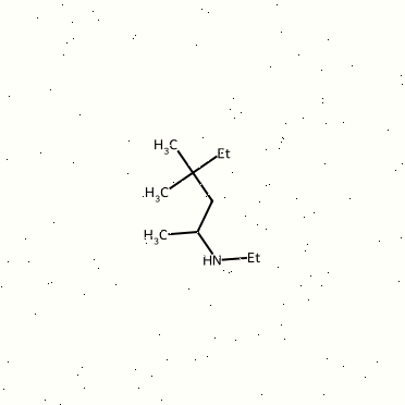 CCNC(C)CC(C)(C)CC